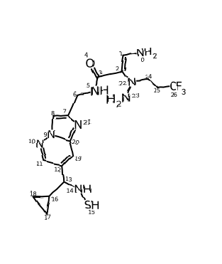 N/C=C(/C(=O)NCc1cn2ncc(C(NS)C3CC3)cc2n1)N(N)CCC(F)(F)F